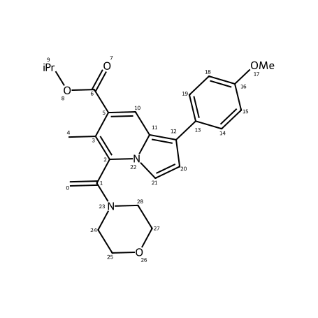 C=C(c1c(C)c(C(=O)OC(C)C)cc2c(-c3ccc(OC)cc3)ccn12)N1CCOCC1